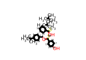 CC(C)(C)c1ccc(COC(=S)c2ccc(O)cc2)cc1.CC(C)C.CC(C)C.OC(=S)c1ccccc1